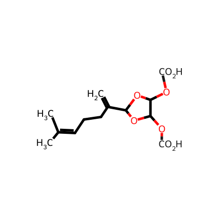 C=C(CCC=C(C)C)C1OC(OC(=O)O)C(OC(=O)O)O1